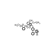 CCCCc1c(Cc2ccc(-c3ccccc3-c3nnn[nH]3)cc2)c(=O)n2n1C(C)C=CC2C(=O)Oc1ccccc1C(=O)OCC